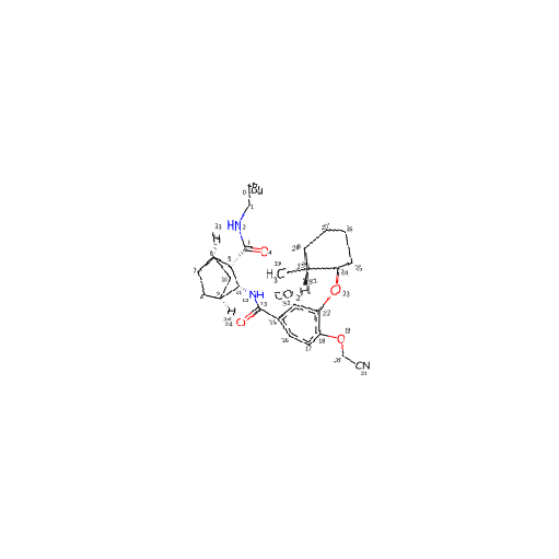 CC(C)(C)CNC(=O)[C@H]1[C@@H]2CC[C@@H](C2)[C@H]1NC(=O)c1ccc(OCC#N)c(OC2CCCC[C@]2(C)C(=O)O)c1